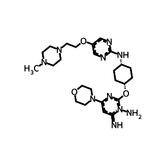 CN1CCN(CCOc2cnc(N[C@H]3CC[C@@H](Oc4nc(N5CCOCC5)cc(=N)n4N)CC3)nc2)CC1